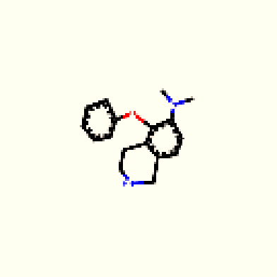 CN(C)c1ccc2c(c1Oc1ccccc1)CCNC2